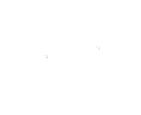 C=NC(C)c1ccnc(C(C)C)c1